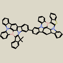 CC1(C)C2=C(B3c4ccccc4-n4c5ccccc5c5cc6c7ccc(-c8ccc9c%10c%11n(c9c8)-c8ccccc8B8C=%11C9C(C=%10)c%10ccccc%10N9c9sc%10ccccc%10c98)cc7n2c6c3c54)c2ccccc21